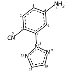 [C-]#[N+]c1ccc(N)cc1-n1nccn1